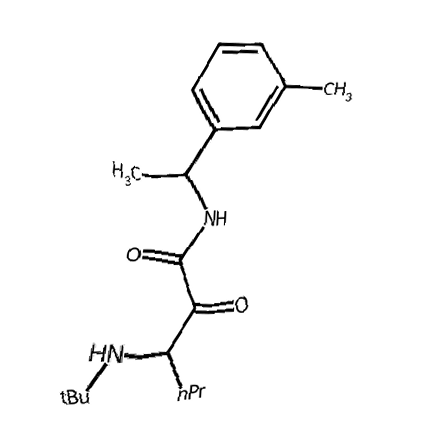 CCCC(NC(C)(C)C)C(=O)C(=O)NC(C)c1cccc(C)c1